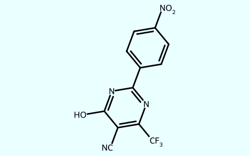 N#Cc1c(O)nc(-c2ccc([N+](=O)[O-])cc2)nc1C(F)(F)F